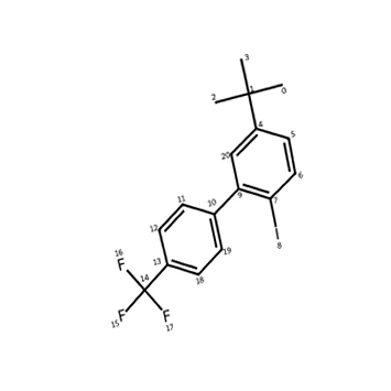 CC(C)(C)c1ccc(I)c(-c2ccc(C(F)(F)F)cc2)c1